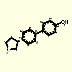 C1CCOC1.Oc1ccc(-c2ccccc2)cc1